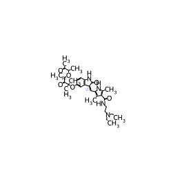 CCN(CC)CCNC(=O)c1c(C)[nH]c(/C=C2\C(=O)Nc3ccc(OC(C)(C)C(=O)[C@H](C)OC(C)C(C)=O)cc32)c1C